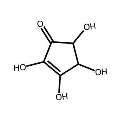 O=C1C(O)=C(O)C(O)C1O